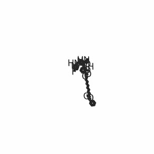 CNC(=O)c1cnc(Nc2ccc(F)cn2)cc1Nc1cccc(C(=O)OCCCCCCCCCC(=O)OCc2ccccc2)c1OC